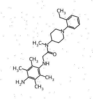 CCc1ccccc1N1CCC(N(C)C(=O)CNc2c(C)c(C)c(N)c(C)c2C)CC1